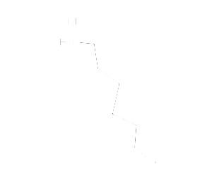 CCCCCCC[O].[LiH]